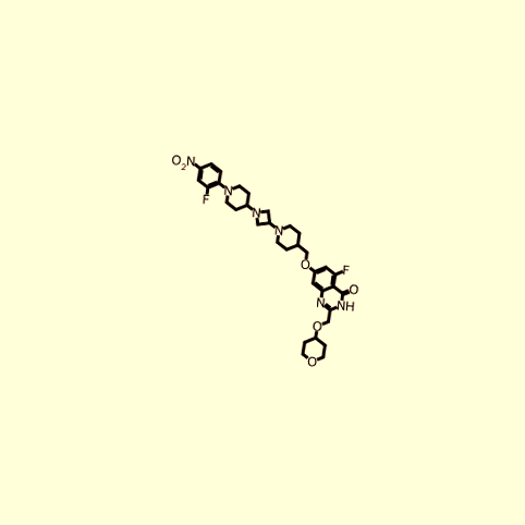 O=c1[nH]c(COC2CCOCC2)nc2cc(OCC3CCN(C4CN(C5CCN(c6ccc([N+](=O)[O-])cc6F)CC5)C4)CC3)cc(F)c12